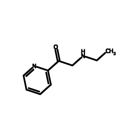 CCNCC(=O)c1ccccn1